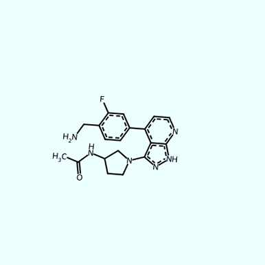 CC(=O)NC1CCN(c2n[nH]c3nccc(-c4ccc(CN)c(F)c4)c23)C1